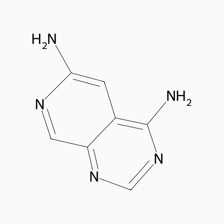 Nc1cc2c(N)ncnc2cn1